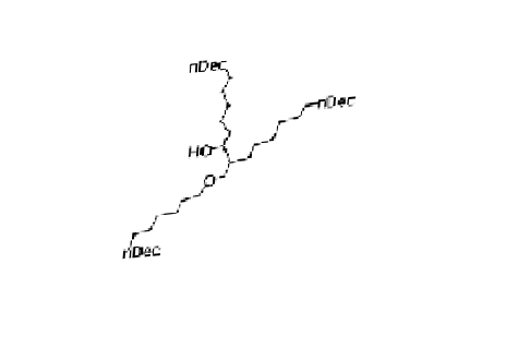 CCCCCCCCCCCCCCCCOCC(CCCCCCCCCCCCCCCC)C(O)CCCCCCCCCCCCCCC